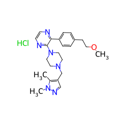 COCCc1ccc(-c2nccnc2N2CCN(Cc3cnn(C)c3C)CC2)cc1.Cl